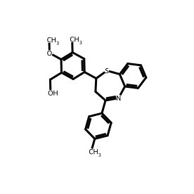 COc1c(C)cc(C2CC(c3ccc(C)cc3)=Nc3ccccc3S2)cc1CO